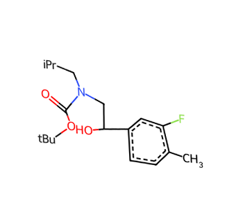 Cc1ccc(C(O)CN(CC(C)C)C(=O)OC(C)(C)C)cc1F